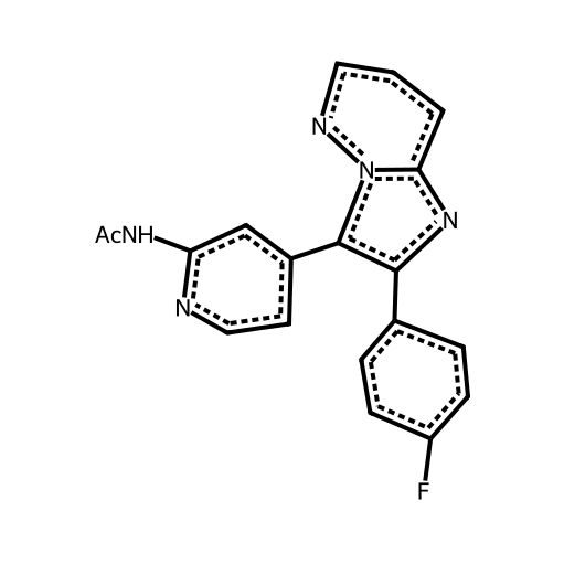 CC(=O)Nc1cc(-c2c(-c3ccc(F)cc3)nc3cccnn23)ccn1